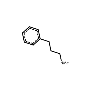 CNCCCc1[c]cccc1